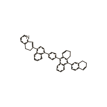 C1=Cc2ccc(-c3c4c(c(-c5ccc(-c6ccc(C7=Cc8ncccc8CC7)c7ccccc67)cc5)c5ccccc35)C=CCC4)cc2CC1